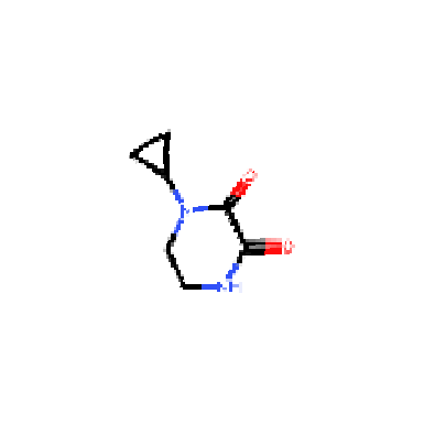 O=C1NCCN(C2CC2)C1=O